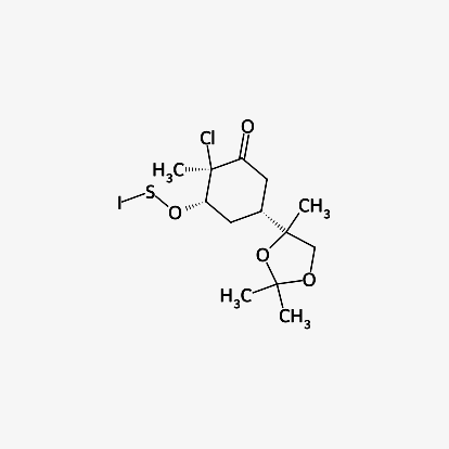 CC1(C)OCC(C)([C@H]2CC(=O)[C@](C)(Cl)[C@@H](OSI)C2)O1